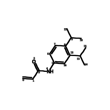 C=CC(=O)Nc1ccc(C(C)C)c(C(C)C)c1